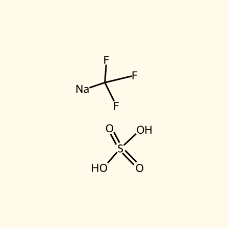 F[C](F)(F)[Na].O=S(=O)(O)O